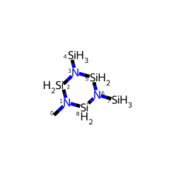 CN1[SiH2]N([SiH3])[SiH2]N([SiH3])[SiH2]1